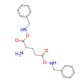 N[C@@H](CCC(=O)ONCc1ccccc1)C(=O)ONCc1ccccc1